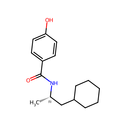 C[C@@H](CC1CCCCC1)NC(=O)c1ccc(O)cc1